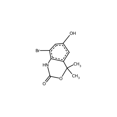 CC1(C)OC(=O)Nc2c(Br)cc(O)cc21